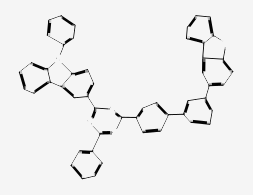 c1ccc(-c2nc(-c3ccc(-c4cccc(-c5ccc6oc7ccccc7c6c5)c4)cc3)nc(-c3ccc4c(c3)c3ccccc3n4-c3ccccc3)n2)cc1